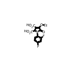 CCOC1=C(C(=O)O)C(C(=O)O)N(c2ccc(F)cc2F)C1=O